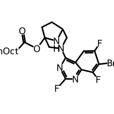 CCCCCCCCC(=O)OC12CCC(CN(c3nc(F)nc4c(F)c(Br)c(F)cc34)C1)N2